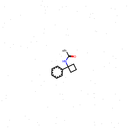 CCCC(=O)NC1(c2ccccc2)CCC1